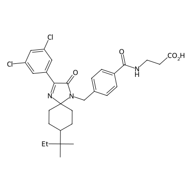 CCC(C)(C)C1CCC2(CC1)N=C(c1cc(Cl)cc(Cl)c1)C(=O)N2Cc1ccc(C(=O)NCCC(=O)O)cc1